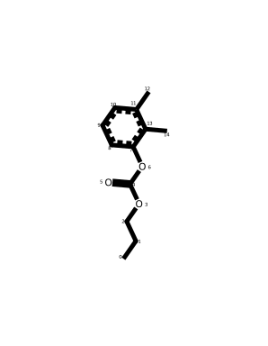 CCCOC(=O)Oc1cccc(C)c1C